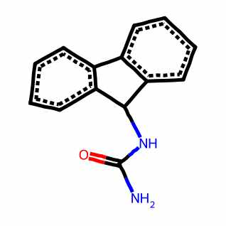 NC(=O)NC1c2ccccc2-c2ccccc21